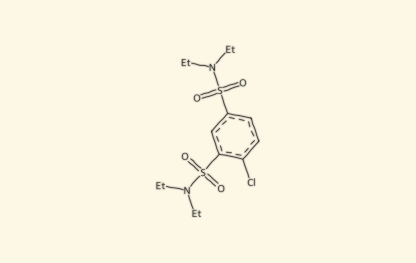 CCN(CC)S(=O)(=O)c1ccc(Cl)c(S(=O)(=O)N(CC)CC)c1